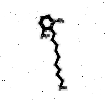 CCCCCCCCCCCCCCCCCCCc1c(C(=O)O)ccc[n+]1C